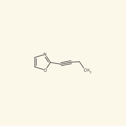 CCC#Cc1ncco1